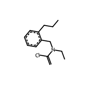 C=C(Cl)N(CC)Cc1ccccc1CCC